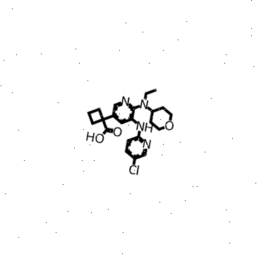 CCN(c1ncc(C2(C(=O)O)CCC2)cc1Nc1ccc(Cl)cn1)C1CCOCC1